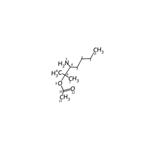 CCCCC(N)C(C)(C)OC(C)=O